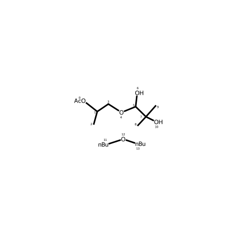 CC(=O)OC(C)COC(O)C(C)(C)O.CCCCOCCCC